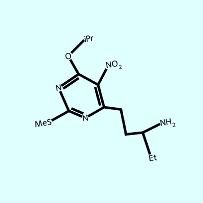 CCC(N)CCc1nc(SC)nc(OC(C)C)c1[N+](=O)[O-]